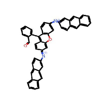 O=Cc1ccccc1-c1c2cc/c(=N\c3ccc4cc5ccccc5cc4c3)cc-2oc2cc(Nc3ccc4cc5ccccc5cc4c3)ccc12